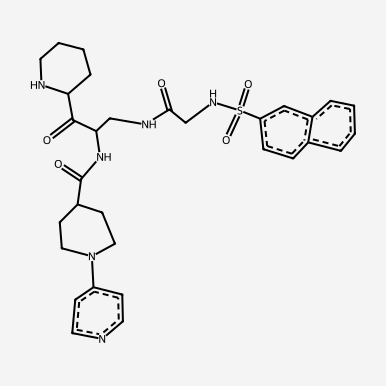 O=C(CNS(=O)(=O)c1ccc2ccccc2c1)NCC(NC(=O)C1CCN(c2ccncc2)CC1)C(=O)C1CCCCN1